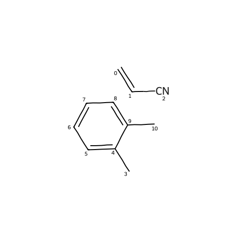 C=CC#N.Cc1ccccc1C